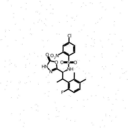 Cc1ccc(F)c(C(C)[C@H](NS(=O)(=O)c2ccc(Cl)cc2[N+](=O)[O-])c2n[nH]c(=O)o2)c1C